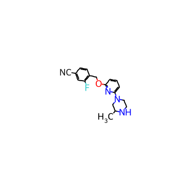 CC1CN(c2cccc(OCc3ccc(C#N)cc3F)n2)CCN1